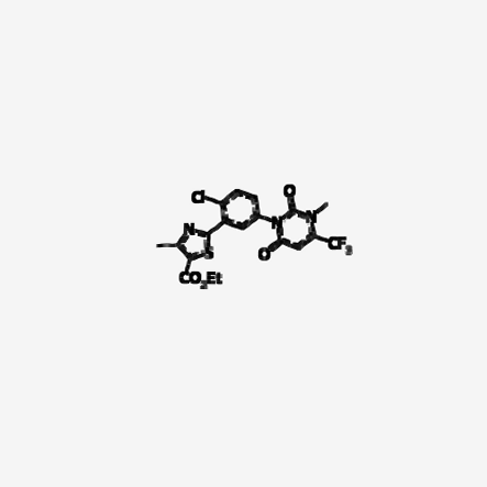 CCOC(=O)c1sc(-c2cc(-n3c(=O)cc(C(F)(F)F)n(C)c3=O)ccc2Cl)nc1C